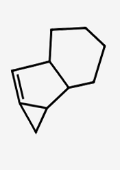 C1=C2CC2C2CCCCC12